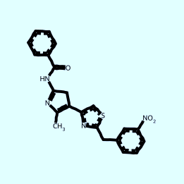 CC1=C(c2csc(Cc3cccc([N+](=O)[O-])c3)n2)CC(NC(=O)c2ccccc2)=N1